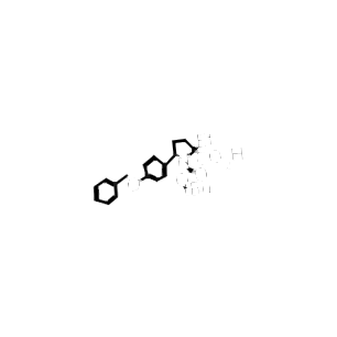 CCC1(C(=O)O)CCC(c2ccc(OCc3ccccc3)cc2)N1C(=O)OC(C)(C)C